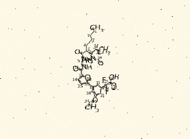 CCCCCC(C(=O)NCNC(=O)c1ccc(-c2cc(OCC)cc(C(F)(F)C(=O)O)c2)o1)C(CC)N(O)C=O